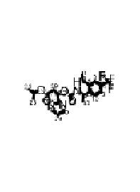 CCc1cc(C(F)(F)F)ccc1C(C)NC(=O)OC(CC(=O)OC(C)C)c1ncccn1